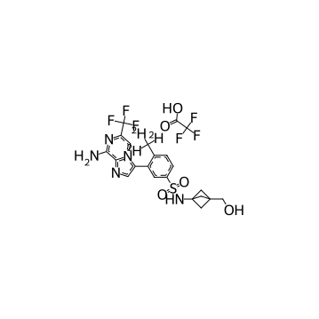 O=C(O)C(F)(F)F.[2H]C([2H])([2H])c1ccc(S(=O)(=O)NC23CC(CO)(C2)C3)cc1-c1cnc2c(N)nc(C(F)(F)F)cn12